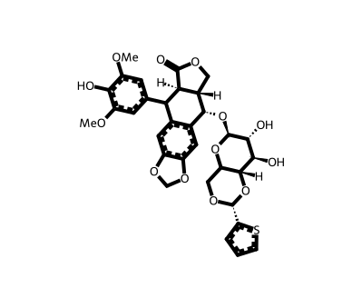 COc1cc(C2c3cc4c(cc3[C@@H](O[C@@H]3OC5CO[C@@H](c6cccs6)O[C@H]5[C@H](O)[C@H]3O)[C@H]3COC(=O)[C@H]23)OCO4)cc(OC)c1O